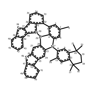 Cc1cc2c3c(c1)N(c1cc4c(cc1C)C(C)(C)CCC4(C)C)c1cc4c(cc1B3n1c3c-2cccc3c2sc3ccccc3c21)sc1ccccc14